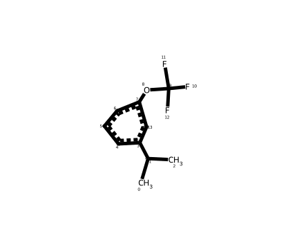 C[C](C)c1cccc(OC(F)(F)F)c1